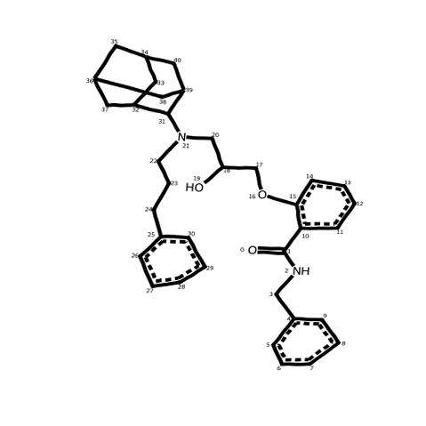 O=C(NCc1ccccc1)c1ccccc1OCC(O)CN(CCCc1ccccc1)C1C2CC3CC(C2)CC1C3